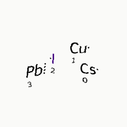 [Cs].[Cu].[I].[Pb]